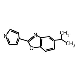 CC(C)c1ccc2oc(-c3ccncc3)nc2c1